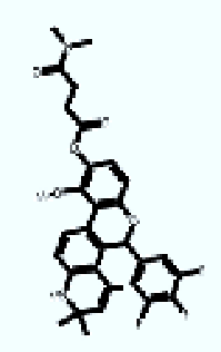 COc1c(OC(=O)CCC(=O)N(C)C)ccc2c1-c1ccc3c(c1C(c1cc(F)c(F)c(F)c1)O2)C(C)=CC(C)(C)N3